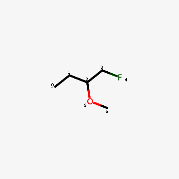 [CH2]CC(CF)OC